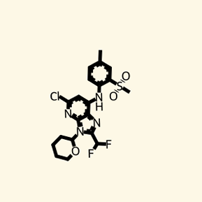 Cc1ccc(Nc2cc(Cl)nc3c2nc(C(F)F)n3C2CCCCO2)c(S(C)(=O)=O)c1